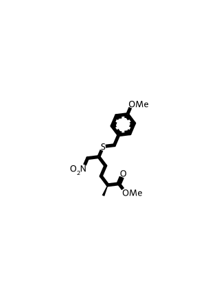 COC(=O)[C@@H](C)CCC(C[N+](=O)[O-])SCc1ccc(OC)cc1